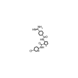 N=C(N)c1ccc(C(=O)Nc2ccsc2C(=O)Nc2ccc(Cl)cn2)cc1